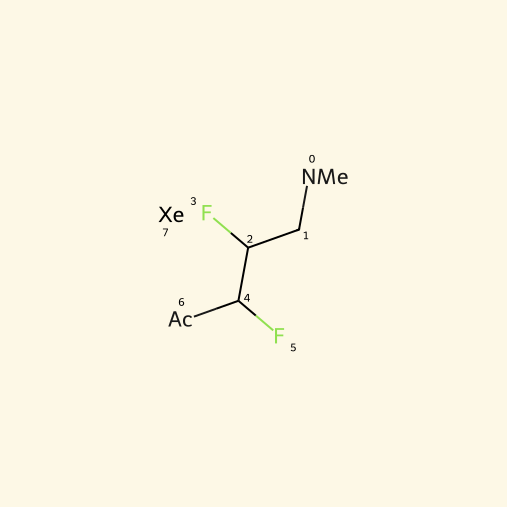 CNCC(F)C(F)C(C)=O.[Xe]